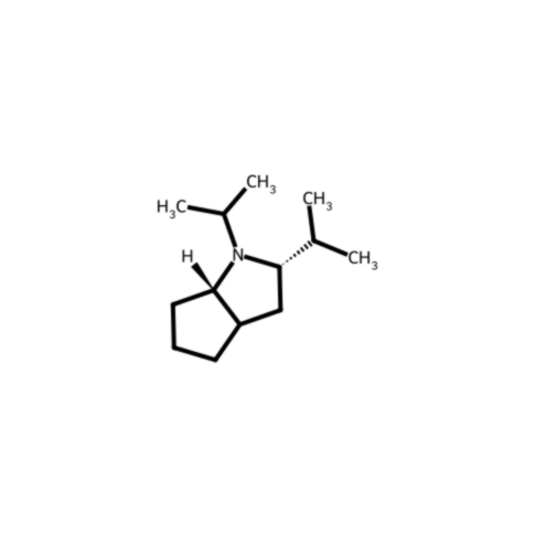 CC(C)[C@@H]1CC2CCC[C@@H]2N1C(C)C